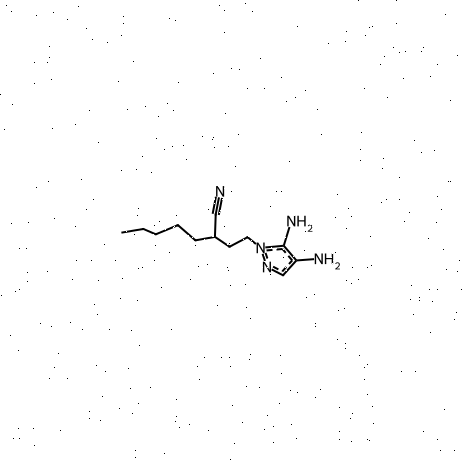 CCCCCC(C#N)CCn1ncc(N)c1N